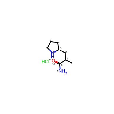 CC(C[C@@H]1CCCN1)C(N)=O.Cl